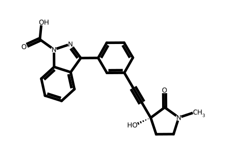 CN1CC[C@@](O)(C#Cc2cccc(-c3nn(C(=O)O)c4ccccc34)c2)C1=O